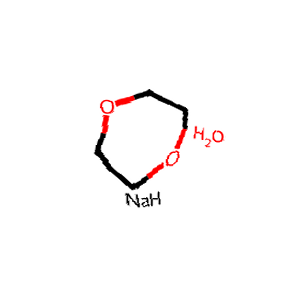 C1COCCO1.O.[NaH]